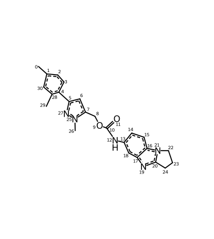 Cc1ccc(-c2cc(COC(=O)Nc3ccc4c(c3)nc3n4CCC3)n(C)n2)c(C)c1